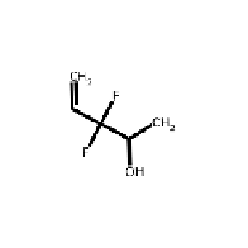 [CH2]C(O)C(F)(F)C=C